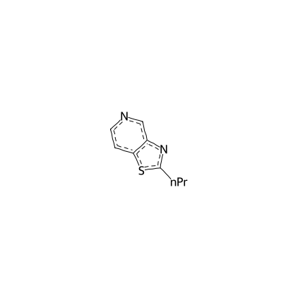 CCCc1nc2cnccc2s1